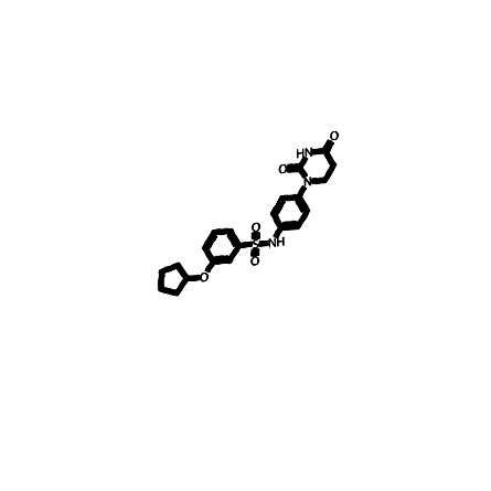 O=C1CCN(c2ccc(NS(=O)(=O)c3cccc(OC4CCCC4)c3)cc2)C(=O)N1